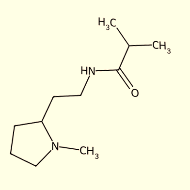 CC(C)C(=O)NCCC1CCCN1C